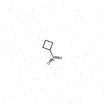 O=[SH](=O)C1CCC1